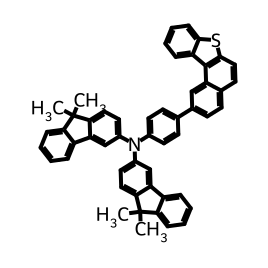 CC1(C)c2ccccc2-c2cc(N(c3ccc(-c4ccc5ccc6sc7ccccc7c6c5c4)cc3)c3ccc4c(c3)-c3ccccc3C4(C)C)ccc21